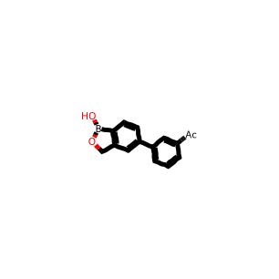 CC(=O)c1cccc(-c2ccc3c(c2)COB3O)c1